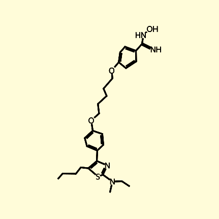 CCCCc1sc(N(C)CC)nc1-c1ccc(OCCCCCOc2ccc(C(=N)NO)cc2)cc1